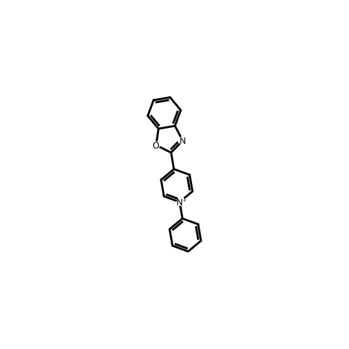 c1ccc(-[n+]2ccc(-c3nc4ccccc4o3)cc2)cc1